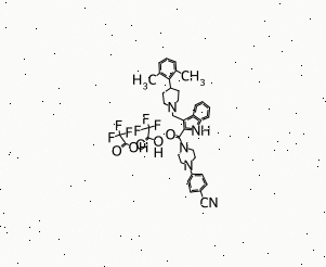 Cc1cccc(C)c1C1CCN(Cc2c(C(=O)N3CCN(c4ccc(C#N)cc4)CC3)[nH]c3ccccc23)CC1.O=C(O)C(F)(F)F.O=C(O)C(F)(F)F